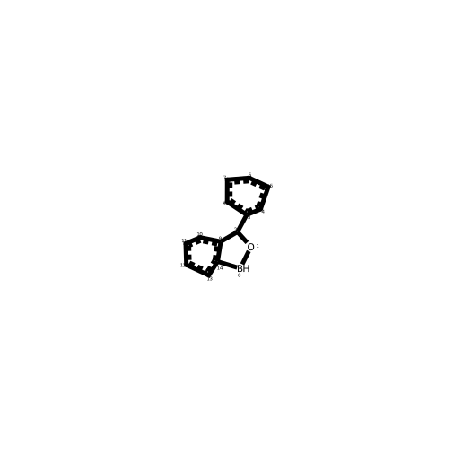 B1OC(c2ccccc2)c2ccccc21